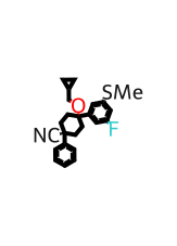 CSc1cc(F)cc([C@]2(OCC3CC3)CC[C@](C#N)(c3ccccc3)CC2)c1